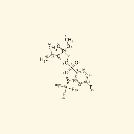 COP(=O)(COS(=O)(=O)c1ccc(F)cc1SC(F)(F)F)OC(C)C